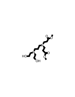 COC(=O)CCN(CCCN(CCO)CCO)CCC(=O)OC